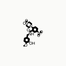 COc1ccc(CNC(=O)c2cc([N+](=O)[O-])ccc2N2CCS(=O)(=O)CC2)cc1O